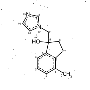 Cc1cccc2c1CCC2(O)Cn1ccnc1